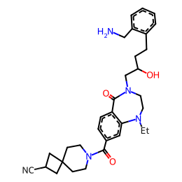 CCN1CCN(CC(O)CCc2ccccc2CN)C(=O)c2ccc(C(=O)N3CCC4(CC3)CC(C#N)C4)cc21